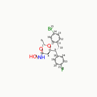 CCO[C@H](CC(=O)NO)[C@H](Cc1ccc(Br)cc1)c1ccc(F)cc1